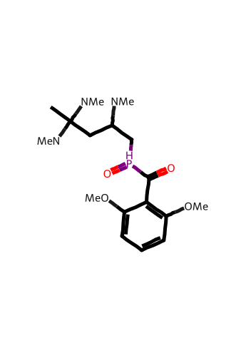 CNC(C[PH](=O)C(=O)c1c(OC)cccc1OC)CC(C)(NC)NC